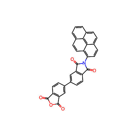 O=C1OC(=O)c2cc(-c3ccc4c(c3)C(=O)N(c3ccc5ccc6cccc7ccc3c5c67)C4=O)ccc21